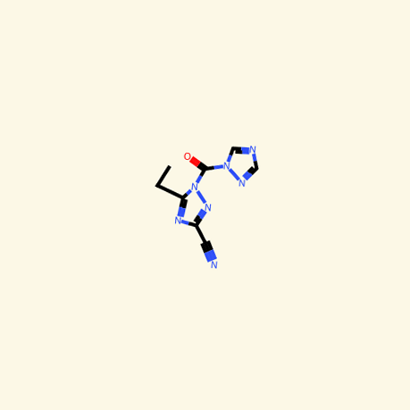 CCc1nc(C#N)nn1C(=O)n1cncn1